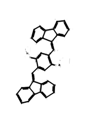 COc1cc(C=C2c3ccccc3-c3ccccc32)c(OC)cc1C=C1c2ccccc2-c2ccccc21